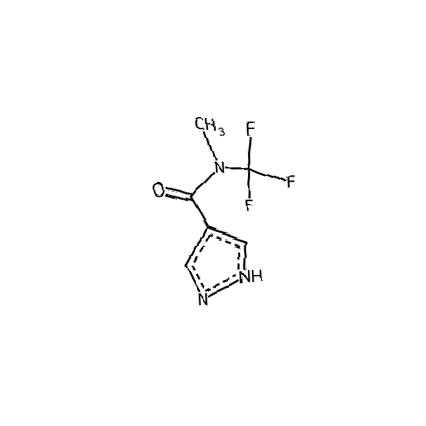 CN(C(=O)c1cn[nH]c1)C(F)(F)F